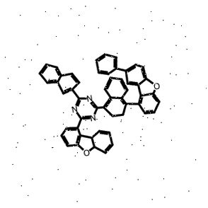 C1=CC2Oc3cccc(-c4nc(C5=c6ccccc6=C(c6cccc7oc8ccc(-c9ccccc9)cc8c67)CC5)nc(-c5ccc6ccccc6c5)n4)c3C2C=C1